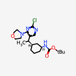 CC(c1cnc(Cl)nc1N1CCOCC1)[C@@H]1CCC[C@H](NC(=O)OC(C)(C)C)C1